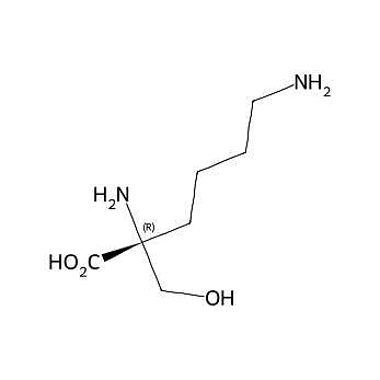 NCCCC[C@@](N)(CO)C(=O)O